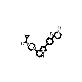 O=C(C1CC1)N1CCN(c2ccnn3cc(-c4ccc([C@@]5(F)CCCNC5)cc4)cc23)CC1